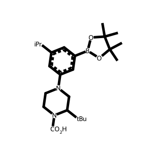 CC(C)c1cc(B2OC(C)(C)C(C)(C)O2)cc(N2CCN(C(=O)O)C(C(C)(C)C)C2)c1